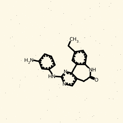 CCc1ccc2c(c1)-c1nc(Nc3cccc(N)c3)ncc1CC(=O)N2